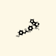 Nc1ncnc2c3c(n(-c4ccc(NC(=O)Cc5cccc(O)c5)cc4)c12)CCC3